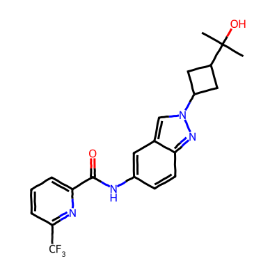 CC(C)(O)C1CC(n2cc3cc(NC(=O)c4cccc(C(F)(F)F)n4)ccc3n2)C1